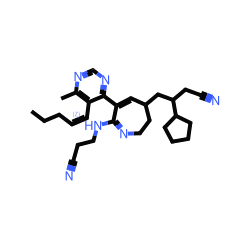 CCC/C=C\c1c(C)ncnc1C1=CC(CC(CC#N)C2CCCC2)CCN=C1NCCC#N